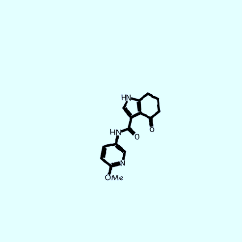 COc1ccc(NC(=O)c2c[nH]c3c2C(=O)CCC3)cn1